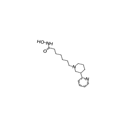 O=C(CCCCCCN1CCCC(c2ccccn2)C1)NO